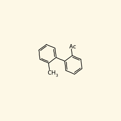 CC(=O)c1ccccc1-c1ccccc1C